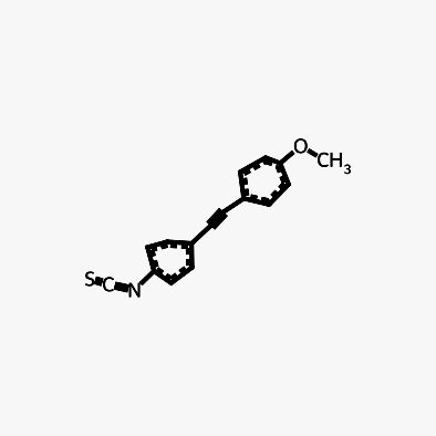 COc1ccc(C#Cc2ccc(N=C=S)cc2)cc1